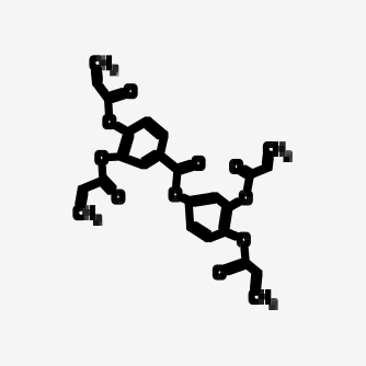 C=CC(=O)Oc1ccc(OC(=O)c2ccc(OC(=O)C=C)c(OC(=O)C=C)c2)cc1OC(=O)C=C